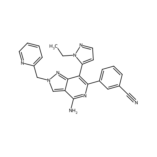 CCn1nccc1-c1c(-c2cccc(C#N)c2)nc(N)c2cn(Cc3ccccn3)nc12